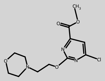 COC(=O)c1cc(Cl)nc(OCCN2CCOCC2)n1